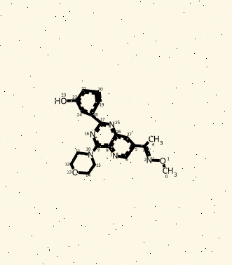 CO/N=C(\C)c1cnc2c(N3CCOCC3)nc(-c3c#ccc(O)c3)nc2c1